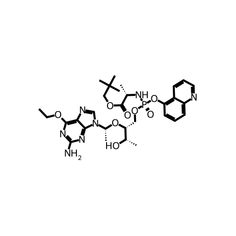 CCOc1nc(N)nc2c1ncn2[C@@H](C)O[C@H](COP(=O)(N[C@@H](C)C(=O)OCC(C)(C)C)Oc1cccc2ncccc12)[C@H](C)O